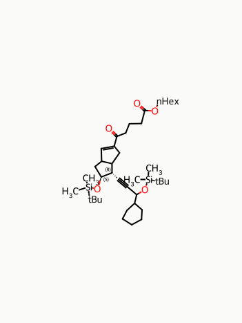 CCCCCCOC(=O)CCCC(=O)C1=CC2C[C@H](O[Si](C)(C)C(C)(C)C)[C@@H](C#CC(O[Si](C)(C)C(C)(C)C)C3CCCCC3)C2C1